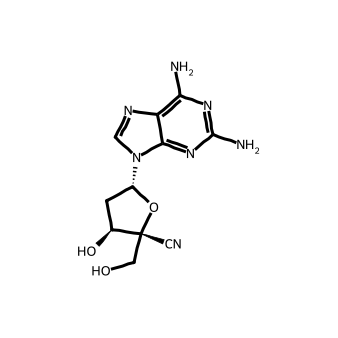 N#C[C@]1(CO)O[C@@H](n2cnc3c(N)nc(N)nc32)C[C@@H]1O